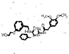 COc1ccc(CC(=O)NC(=N)N[C@H](Cc2ccccc2)C(=O)NCc2cccc(OCCO)c2)cc1OC